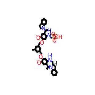 C=C(c1cc(OC)c(OCc2cc(C)cc(COc3cc4c(cc3OC)C(=C)N3c5ccccc5C[C@H]3CN4)c2)cc1NCS(=O)(=O)O)N1CCc2ccccc21